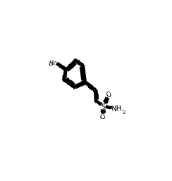 NS(=O)(=O)/C=C/c1ccc(Br)cc1